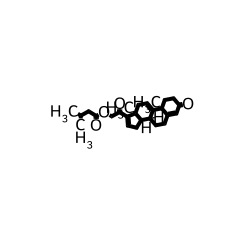 CC(C)CC(=O)OCC(=O)C1=CC[C@H]2[C@@H]3CCC4=CC(=O)CC[C@]4(C)C3=CC[C@]12C